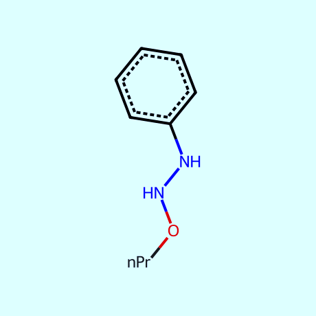 CCCONNc1ccccc1